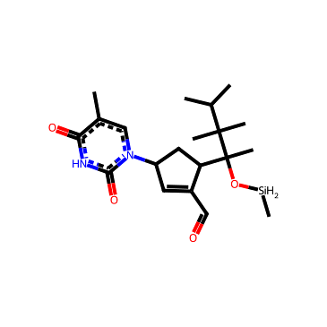 C[SiH2]OC(C)(C1CC(n2cc(C)c(=O)[nH]c2=O)C=C1C=O)C(C)(C)C(C)C